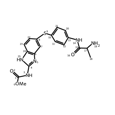 COC(=O)Nc1nc2cc(Sc3ccc(NC(=O)C(C)N)cc3)ccc2[nH]1